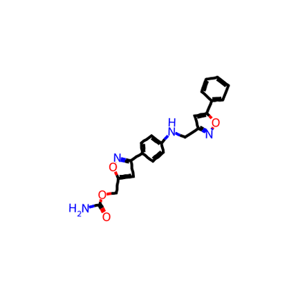 NC(=O)OCc1cc(-c2ccc(NCc3cc(-c4ccccc4)on3)cc2)no1